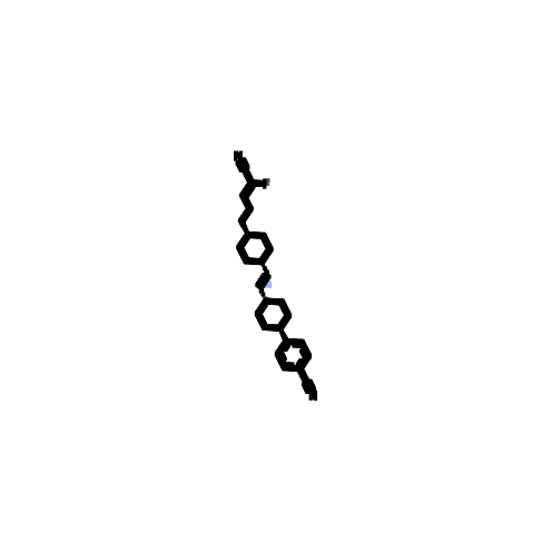 N#CC(F)=CCC[C@H]1CC[C@H](/C=C/[C@H]2CC[C@H](c3ccc(C#N)cc3)CC2)CC1